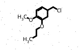 CCCOC1=C(OC)C=CC(CCl)C1